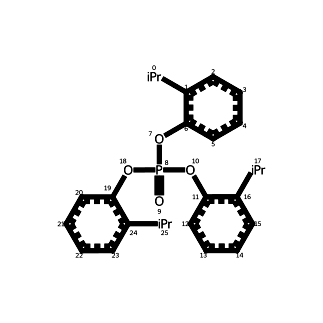 CC(C)c1ccccc1OP(=O)(Oc1ccccc1C(C)C)Oc1ccccc1C(C)C